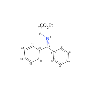 CCOC(=O)C/N=C(/c1ccccc1)C1C=CC=CC1